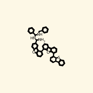 NC(NC(NCc1ccccc1)c1ccccc1)c1ccc2oc3cccc(-c4cccc5c4oc4c(C6=CC=CC7c8ccccc8SC67)cccc45)c3c2c1